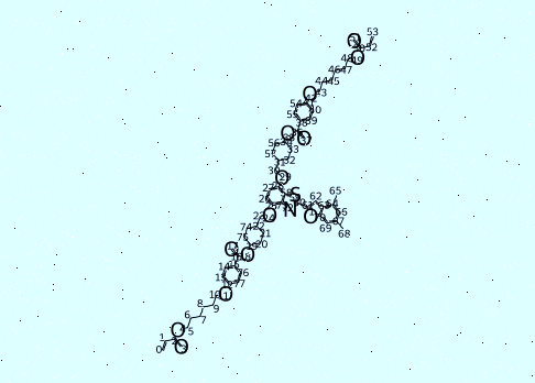 C=CC(=O)OCCCCCCOc1ccc(C(=O)OC2CCC(COc3ccc(OCC4CCC(OC(=O)c5ccc(OCCCCCCOC(=O)C=C)cc5)CC4)c4sc(-c5cc6c(C)cc(C)cc6o5)nc34)CC2)cc1